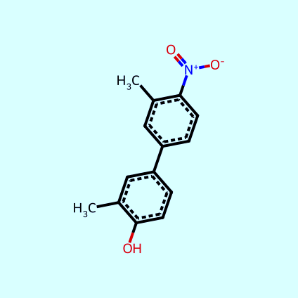 Cc1cc(-c2ccc([N+](=O)[O-])c(C)c2)ccc1O